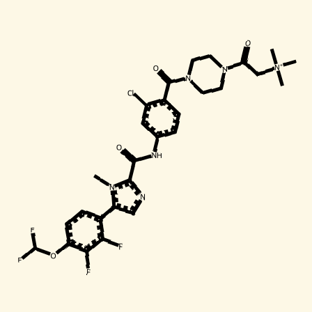 Cn1c(-c2ccc(OC(F)F)c(F)c2F)cnc1C(=O)Nc1ccc(C(=O)N2CCN(C(=O)C[N+](C)(C)C)CC2)c(Cl)c1